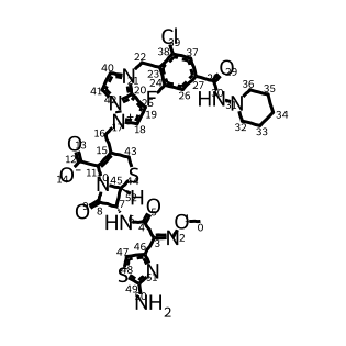 CO/N=C(\C(=O)N[C@@H]1C(=O)N2C(C(=O)[O-])=C(C[n+]3ccc4n(Cc5c(F)cc(C(=O)NN6CCCCC6)cc5Cl)ccn43)CS[C@H]12)c1csc(N)n1